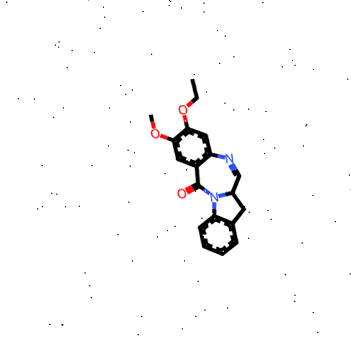 CCOc1cc2c(cc1OC)C(=O)N1c3ccccc3CC1C=N2